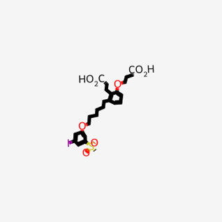 CS(=O)(=O)c1cc(I)cc(OCCCCCCc2cccc(OCCCC(=O)O)c2CCC(=O)O)c1